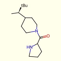 C[C@H](C1CCN(C(=O)C2CCCN2)CC1)C(C)(C)C